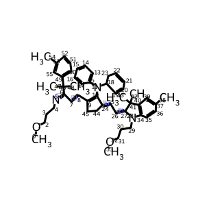 COCCC/N=C(\C=C\C1=C(N(c2ccccc2)C2C=CC=CC2)C(=C/C=C2/N(CCCOC)c3ccc(C)cc3C2(C)C)/CC1)C(C)(C)c1cccc(C)c1